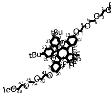 CCOCCOCCOCCOc1ccc2c3c(oc2c1)C(c1ccc(C(C)(C)C)cc1)(c1ccc(C(C)(C)C)cc1)c1oc2cc(OCCOCCOCCOC)ccc2c1C1=C3C(F)(F)C(F)(F)C1(F)F